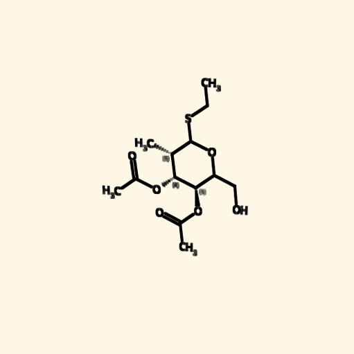 CCSC1OC(CO)[C@@H](OC(C)=O)[C@H](OC(C)=O)[C@@H]1C